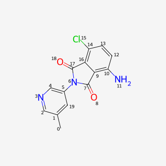 Cc1cncc(N2C(=O)c3c(N)ccc(Cl)c3C2=O)c1